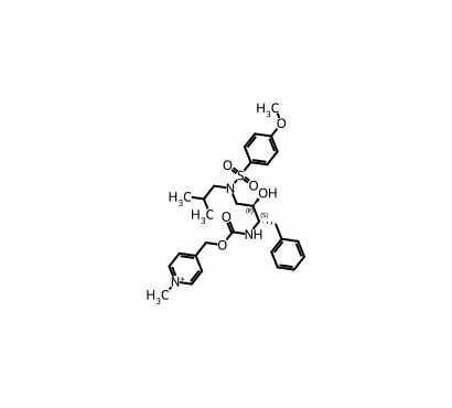 COc1ccc(S(=O)(=O)N(CC(C)C)C[C@@H](O)[C@H](Cc2ccccc2)NC(=O)OCc2cc[n+](C)cc2)cc1